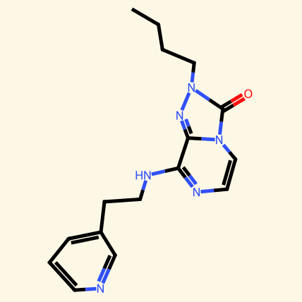 CCCCn1nc2c(NCCc3cccnc3)nccn2c1=O